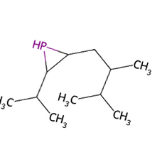 CC(C)C(C)CC1PC1C(C)C